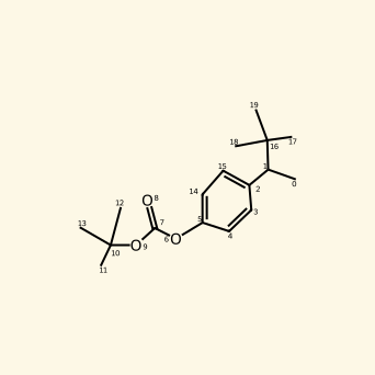 CC(c1ccc(OC(=O)OC(C)(C)C)cc1)C(C)(C)C